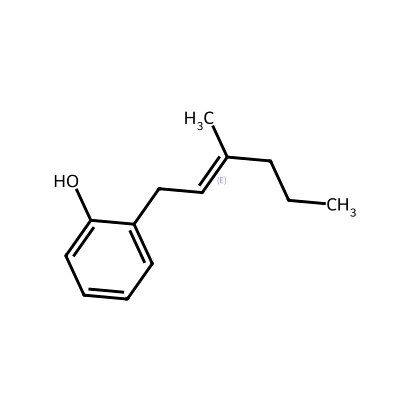 CCC/C(C)=C/Cc1ccccc1O